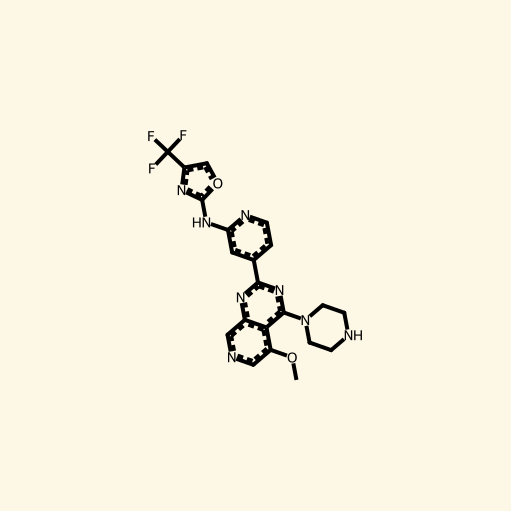 COc1cncc2nc(-c3ccnc(Nc4nc(C(F)(F)F)co4)c3)nc(N3CCNCC3)c12